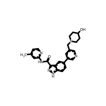 Cc1ccnc(NC(=O)c2n[nH]c3ccc(-c4cncc(CN5CCC(O)CC5)c4)cc23)c1